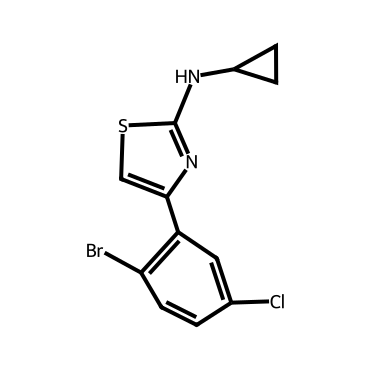 Clc1ccc(Br)c(-c2csc(NC3CC3)n2)c1